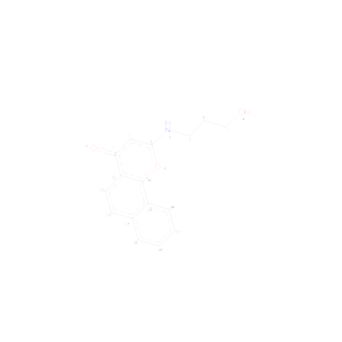 O=c1cc(NCCCO)oc2c1ccc1ccccc12